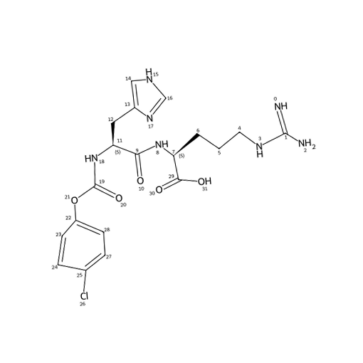 N=C(N)NCCC[C@H](NC(=O)[C@H](Cc1c[nH]cn1)NC(=O)Oc1ccc(Cl)cc1)C(=O)O